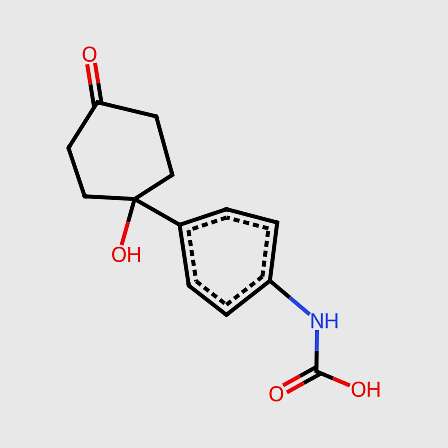 O=C1CCC(O)(c2ccc(NC(=O)O)cc2)CC1